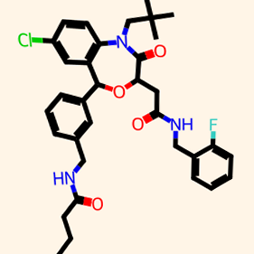 CCCC(=O)NCc1cccc(C2OC(CC(=O)NCc3ccccc3F)C(=O)N(CC(C)(C)C)c3ccc(Cl)cc32)c1